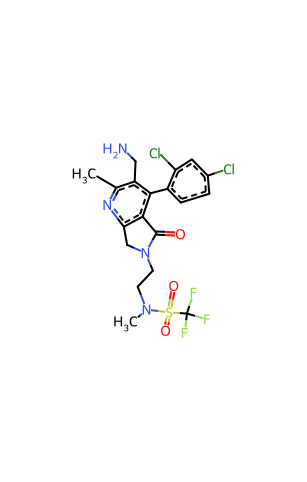 Cc1nc2c(c(-c3ccc(Cl)cc3Cl)c1CN)C(=O)N(CCN(C)S(=O)(=O)C(F)(F)F)C2